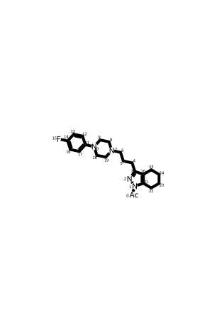 CC(=O)n1nc(CCCN2CCN(c3ccc(F)cc3)CC2)c2c1CCCC2